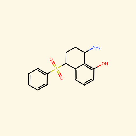 NC1CCC(S(=O)(=O)c2ccccc2)c2cccc(O)c21